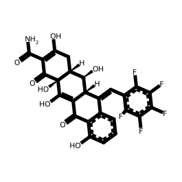 NC(=O)C1=C(O)C[C@@H]2[C@@H](O)[C@H]3C(=C(O)[C@]2(O)C1=O)C(=O)c1c(O)cccc1/C3=C\c1c(F)c(F)c(F)c(F)c1F